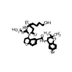 CC[C@@]1(CCCCO)CC(=O)N([C@@H]2CCOc3ccc(C(=O)N[C@H]4CC(C)(C)Oc5ccc(Br)cc54)cc32)/C(=N/C(=O)O)N1